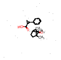 CC12CCC(CC1=O)C2(C)C.O=C(O)C1=C(c2ccccc2)C1